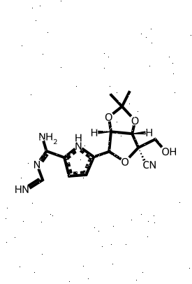 CC1(C)O[C@H]2C(c3ccc(/C(N)=N\C=N)[nH]3)O[C@](C#N)(CO)[C@H]2O1